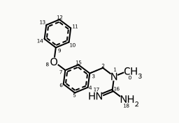 CN(Cc1cccc(Oc2ccccc2)c1)C(=N)N